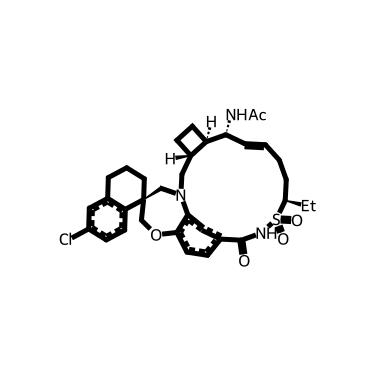 CC[C@@H]1CC/C=C/[C@@H](NC(C)=O)[C@@H]2CC[C@H]2CN2C[C@@]3(CCCc4cc(Cl)ccc43)COc3ccc(cc32)C(=O)NS1(=O)=O